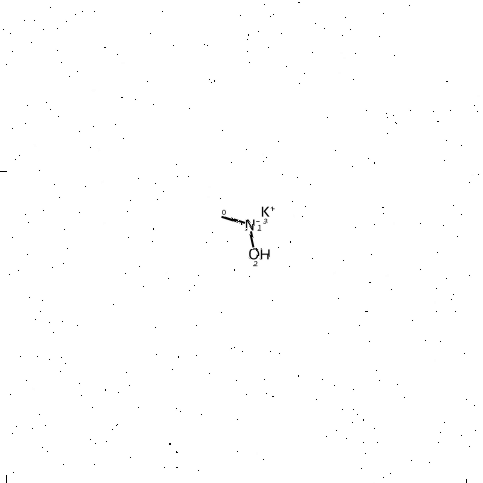 C[N-]O.[K+]